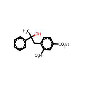 CCOC(=O)c1ccc(CC(C)(O)c2ccccc2)c([N+](=O)[O-])c1